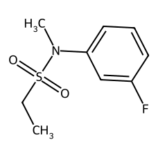 CCS(=O)(=O)N(C)c1cccc(F)c1